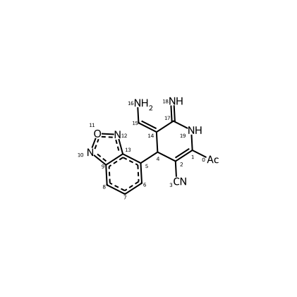 CC(=O)C1=C(C#N)C(c2cccc3nonc23)/C(=C/N)C(=N)N1